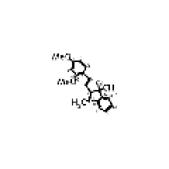 COc1ccc(C=CC2N(C)c3ccccc3C2(C)C)c(OC)c1